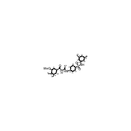 COc1cc(C(=O)NC(=S)Nc2ccc(S(=O)(=O)Nc3cc(C)cc(C)c3)cc2)cc(C)c1C